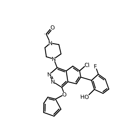 O=[C]N1CCN(c2nnc(Oc3ccccc3)c3cc(-c4c(O)cccc4F)c(Cl)cc23)CC1